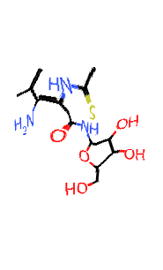 C=C(C)/C(N)=C(\NC(C)=S)C(=O)NC1OC(CO)C(O)C1O